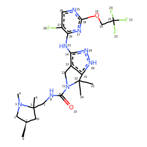 C[C@H]1CN(C)C(C)(CNC(=O)N2Cc3c(Nc4nc(OCC(F)(F)F)ncc4F)n[nH]c3C2(C)C)C1